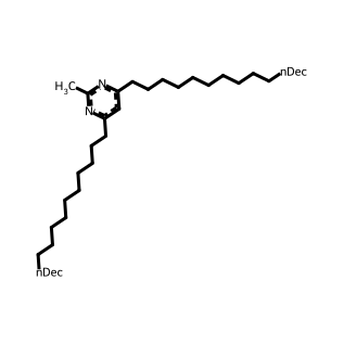 CCCCCCCCCCCCCCCCCCCCc1cc(CCCCCCCCCCCCCCCCCCCC)nc(C)n1